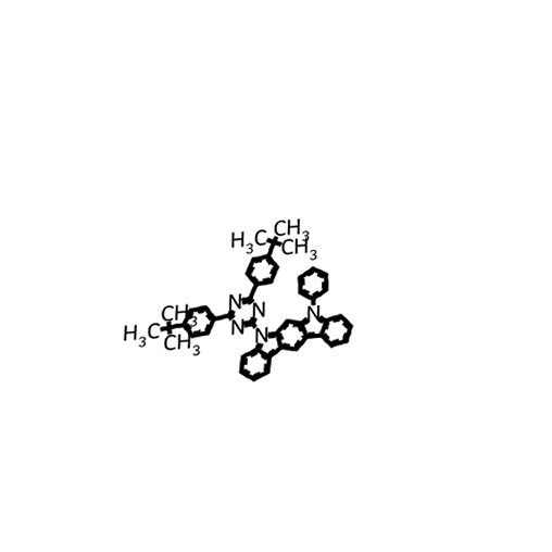 CC(C)(C)c1ccc(-c2nc(-c3ccc(C(C)(C)C)cc3)nc(-n3c4ccccc4c4cc5c6ccccc6n(-c6ccccc6)c5cc43)n2)cc1